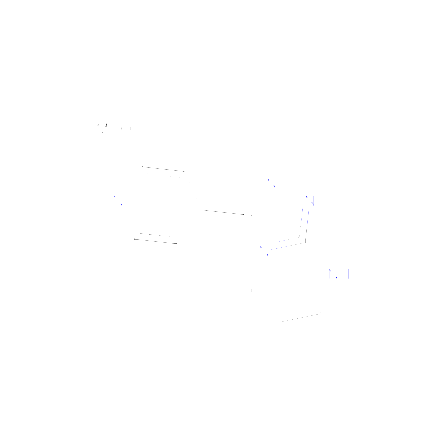 COc1cc(-c2nnc3n2CCCN3)cc(Cl)n1